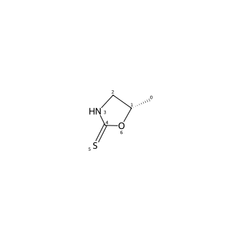 C[C@H]1CNC(=S)O1